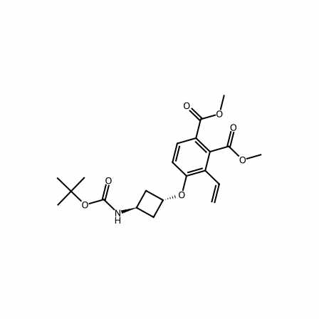 C=Cc1c(O[C@H]2C[C@H](NC(=O)OC(C)(C)C)C2)ccc(C(=O)OC)c1C(=O)OC